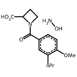 CCCc1cc(C(=O)N2CCC2C(=O)O)ccc1OC.NO